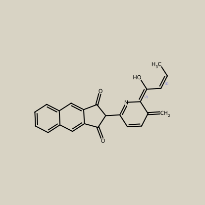 C=c1ccc(C2C(=O)c3cc4ccccc4cc3C2=O)n/c1=C(O)/C=C\C